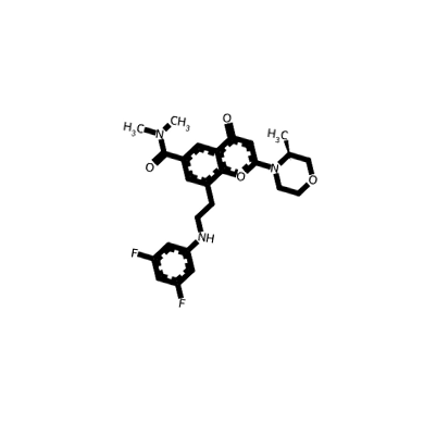 C[C@H]1COCCN1c1cc(=O)c2cc(C(=O)N(C)C)cc(CCNc3cc(F)cc(F)c3)c2o1